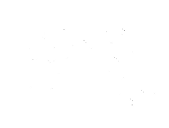 Cn1cc(CN2CCNC[C@H]2C(=O)NC(C)(C)c2ncc3c(Cl)cccn23)cn1